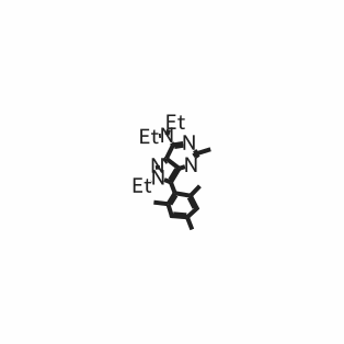 CCN(CC)c1nc(C)nc2c(-c3c(C)cc(C)cc3C)n(CC)nc12